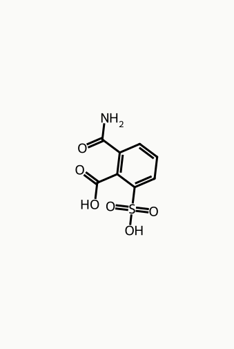 NC(=O)c1cccc(S(=O)(=O)O)c1C(=O)O